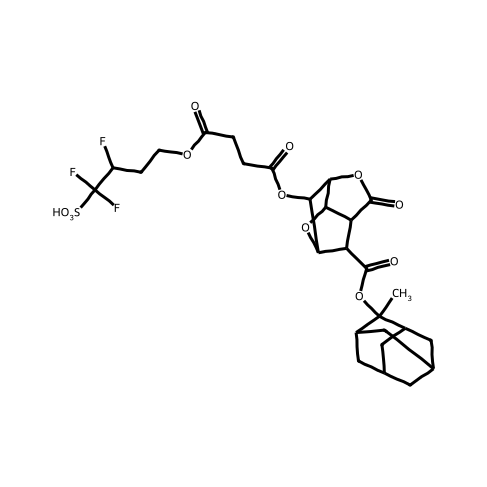 CC1(OC(=O)C2C3OC4C(OC(=O)C42)C3OC(=O)CCC(=O)OCCC(F)C(F)(F)S(=O)(=O)O)C2CC3CC(C2)CC1C3